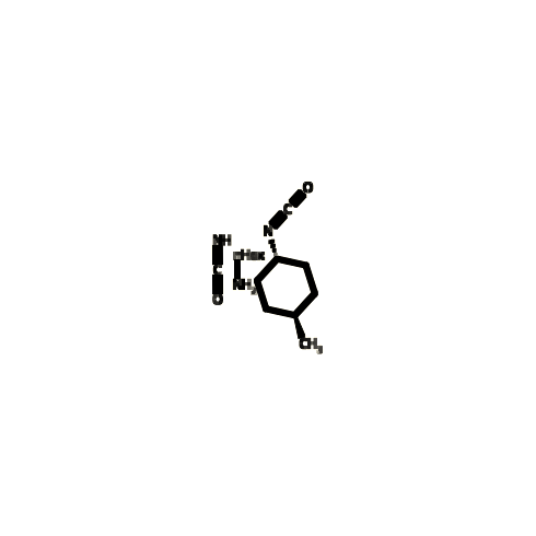 CCCCCCN.C[C@H]1CC[C@H](N=C=O)CC1.N=C=O